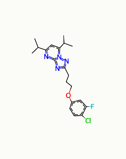 CC(C)c1cc(C(C)C)n2nc(CCCOc3ccc(Cl)c(F)c3)nc2n1